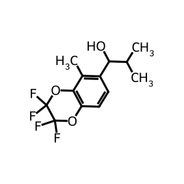 Cc1c(C(O)C(C)C)ccc2c1OC(F)(F)C(F)(F)O2